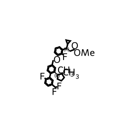 COC(=O)C[C@@H](c1cccc(OCc2ccc(-c3cc(C(F)F)ccc3F)c([C@@H]3CCCC3(C)C)c2)c1F)C1CC1